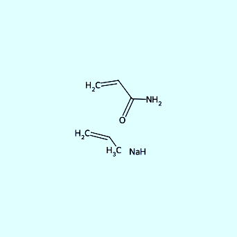 C=CC.C=CC(N)=O.[NaH]